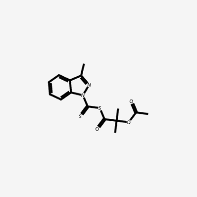 CC(=O)OC(C)(C)C(=O)SC(=S)n1nc(C)c2ccccc21